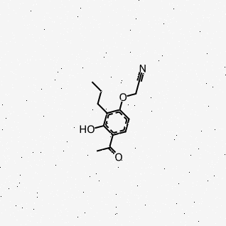 CCCc1c(OCC#N)ccc(C(C)=O)c1O